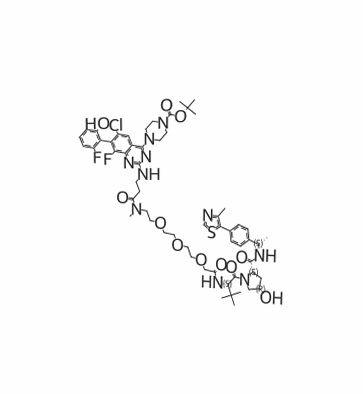 Cc1ncsc1-c1ccc([C@H](C)NC(=O)[C@@H]2C[C@@H](O)CN2C(=O)[C@@H](NC(=O)COCCOCCOCCN(C)C(=O)CCNc2nc(N3CCN(C(=O)OC(C)(C)C)CC3)c3cc(Cl)c(-c4c(O)cccc4F)c(F)c3n2)C(C)(C)C)cc1